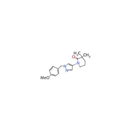 COc1ccc(Cn2cc(N3CCCC(C)(C)C3=O)cn2)cc1